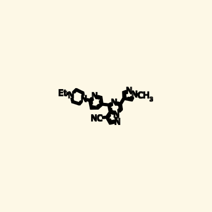 CCN1CCN(c2ccc(-c3nc(-c4cnn(C)c4)cn4ncc(C#N)c34)cn2)CC1